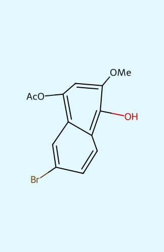 COc1cc(OC(C)=O)c2cc(Br)ccc2c1O